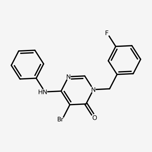 O=c1c(Br)c(Nc2ccccc2)ncn1Cc1cccc(F)c1